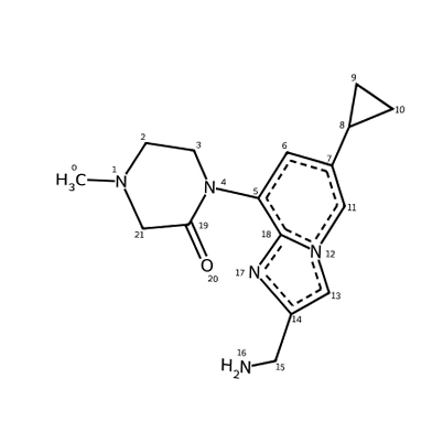 CN1CCN(c2cc(C3CC3)cn3cc(CN)nc23)C(=O)C1